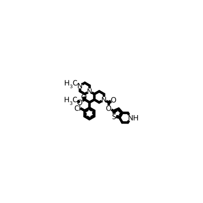 COC(=O)C(c1ccccc1Cl)C1CN(C(=O)Oc2cc3c(s2)CCNC3)CCC1N1CCN(C)CC1